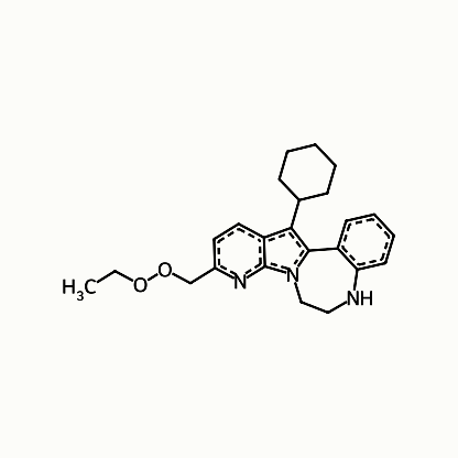 CCOOCc1ccc2c(C3CCCCC3)c3n(c2n1)CCNc1ccccc1-3